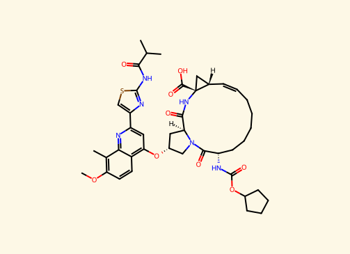 COc1ccc2c(O[C@@H]3C[C@H]4C(=O)N[C@]5(C(=O)O)C[C@@H]5/C=C\CCCCC[C@H](NC(=O)OC5CCCC5)C(=O)N4C3)cc(-c3csc(NC(=O)C(C)C)n3)nc2c1C